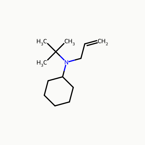 C=CCN(C1CCCCC1)C(C)(C)C